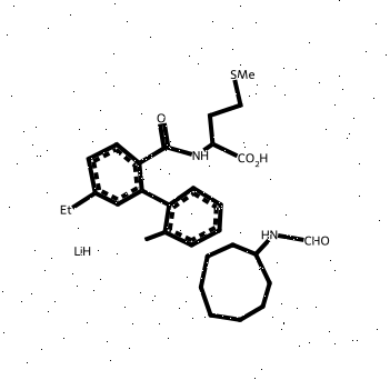 CCc1ccc(C(=O)NC(CCSC)C(=O)O)c(-c2ccccc2C)c1.O=CNC1CCCCCCC1.[LiH]